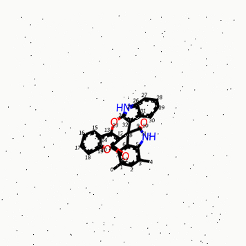 Cc1cc(C)c2c(c1)C1(C(=O)N2)c2c(c3ccccc3oc2=O)Oc2[nH]c3ccccc3c21